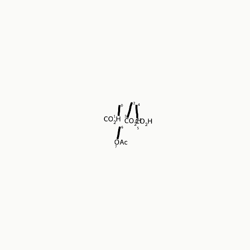 CC(=O)O.CC(=O)O.CC(=O)O.COC(C)=O